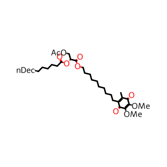 CCCCCCCCCCCCCCCC(=O)OC(COC(C)=O)C(=O)OCCCCCCCCCCC1=C(C)C(=O)C(OC)=C(OC)C1=O